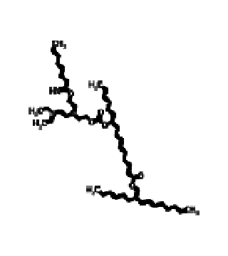 CCCCCCCCC(CCCCCC)COC(=O)CCCCCCCCC(CCCCCC)OC(=O)OCCN(CCOC(=N)CCCCCCC)CCN(CC)CC